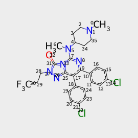 CN1CCC(N(C)c2nc(-c3ccc(Cl)cc3)c(-c3ccc(Cl)cc3)c3nn(CCC(F)(F)F)c(=O)n23)CC1